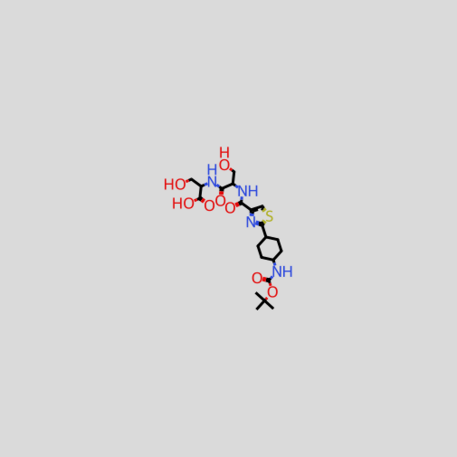 CC(C)(C)OC(=O)NC1CCC(c2nc(C(=O)NC(CO)C(=O)NC(CO)C(=O)O)cs2)CC1